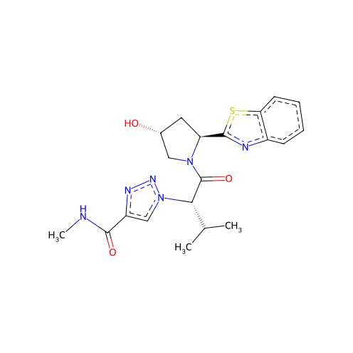 CNC(=O)c1cn([C@H](C(=O)N2C[C@H](O)C[C@H]2c2nc3ccccc3s2)C(C)C)nn1